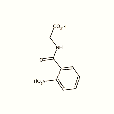 O=C(O)CNC(=O)c1ccccc1S(=O)(=O)O